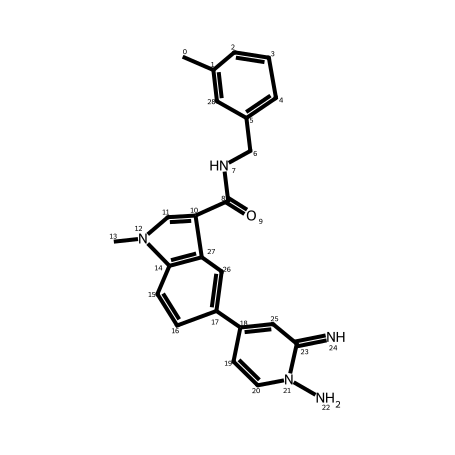 Cc1cccc(CNC(=O)c2cn(C)c3ccc(-c4ccn(N)c(=N)c4)cc23)c1